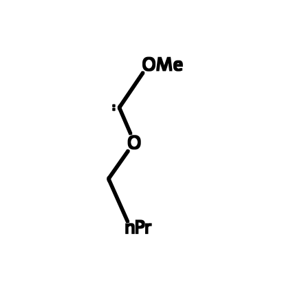 CCCCO[C]OC